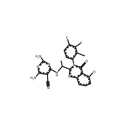 Cc1c(-n2c(C(C)Nc3nc(N)nc(N)c3C#N)nc3cccc(Cl)c3c2=O)ccc(F)c1F